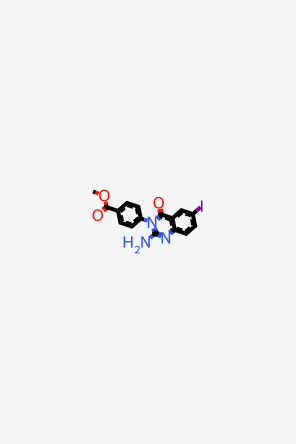 COC(=O)c1ccc(-n2c(N)nc3ccc(I)cc3c2=O)cc1